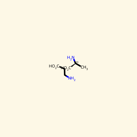 C[C@H](N)C(=O)O.NCCC(=O)O